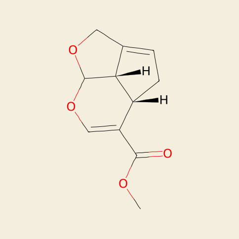 COC(=O)C1=COC2OCC3=CC[C@H]1[C@@H]32